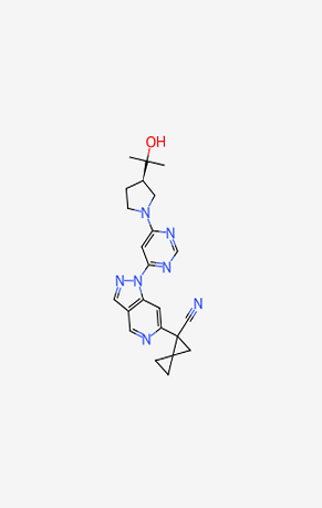 CC(C)(O)[C@@H]1CCN(c2cc(-n3ncc4cnc(C5(C#N)CC56CC6)cc43)ncn2)C1